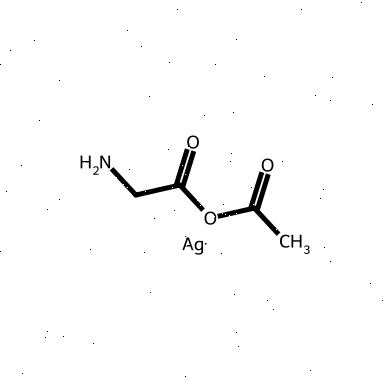 CC(=O)OC(=O)CN.[Ag]